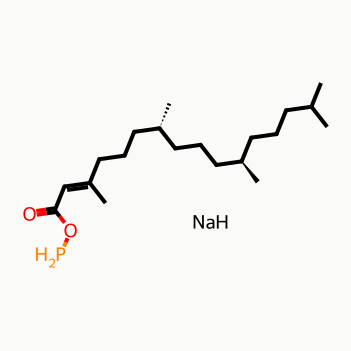 C/C(=C\C(=O)OP)CCC[C@H](C)CCC[C@H](C)CCCC(C)C.[NaH]